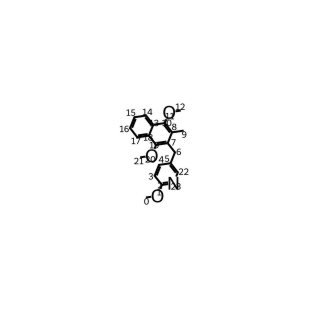 COc1ccc(Cc2c(C)c(OC)c3ccccc3c2OC)cn1